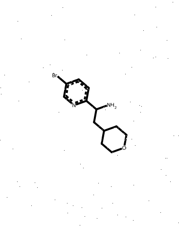 NC(CC1CCOCC1)c1ccc(Br)cn1